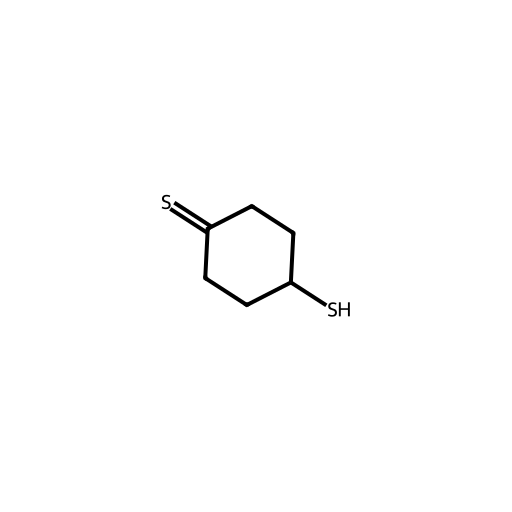 S=C1CCC(S)CC1